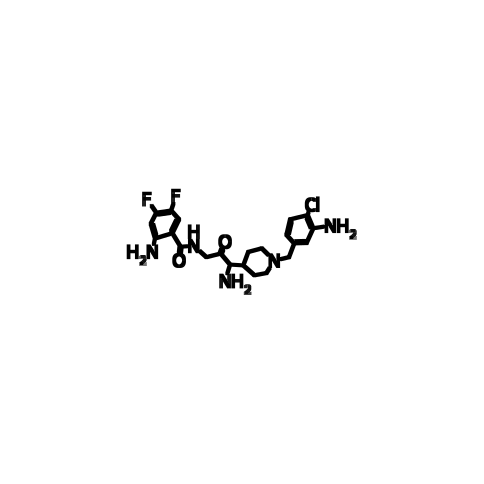 Nc1cc(CN2CCC(C(N)C(=O)CNC(=O)c3cc(F)c(F)cc3N)CC2)ccc1Cl